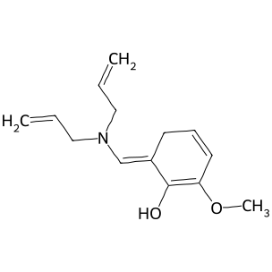 C=CCN(C=C1CC=CC(OC)=C1O)CC=C